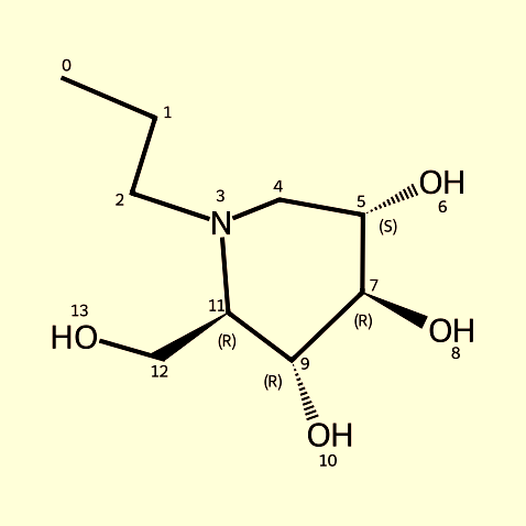 CCCN1C[C@H](O)[C@@H](O)[C@H](O)[C@H]1CO